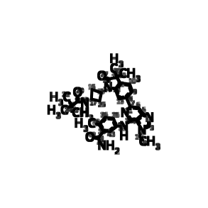 CCn1cnc2cc(-c3ccc4c(c3)N([C@H]3C[C@@H](NC(=O)C(C)(C)C)C3)C(=O)C4(C)C)nc(Nc3ccc(C)c(C(N)=O)c3)c21